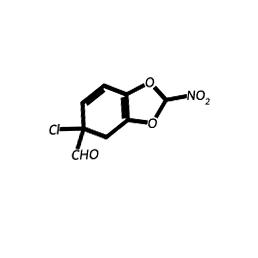 O=CC1(Cl)C=CC2=C(C1)OC([N+](=O)[O-])O2